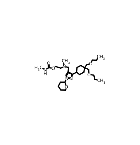 CCCOCC1(COCCC)CCC(c2nn(C3CCCCO3)cc2CN(C)CCOC(=O)NC)CC1